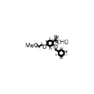 COCCOc1ccc(C(Br)C=O)c(OCc2ccccc2)c1